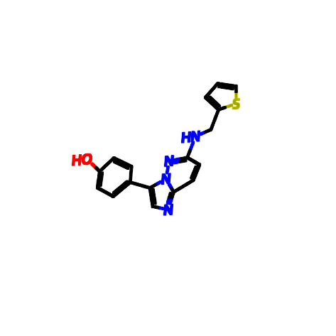 Oc1ccc(-c2cnc3ccc(NCc4cccs4)nn23)cc1